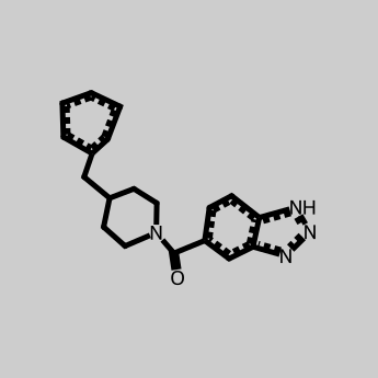 O=C(c1ccc2[nH]nnc2c1)N1CCC(Cc2ccccc2)CC1